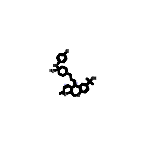 CC/C=C\C1=C(N)COc2ccc(C(C)(C)O)cc2/C1=C/CCN1CCC(N)(Nc2ccc(Cl)cc2)CC1